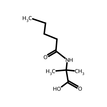 CCCCC(=O)NC(C)(C)C(=O)O